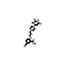 COC(=O)c1cc(C#N)ccc1OCCCN1CCN(c2cc(=O)n(C)c(=O)n2C)CC1